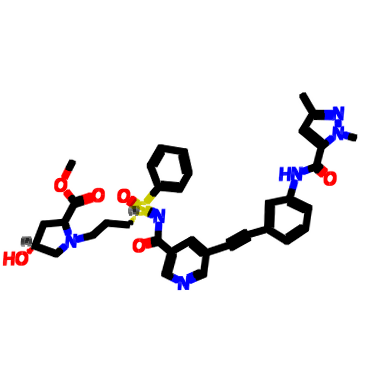 COC(=O)C1C[C@@H](O)CN1CCC[S@@](=O)(=NC(=O)c1cncc(C#Cc2cccc(NC(=O)c3cc(C)nn3C)c2)c1)c1ccccc1